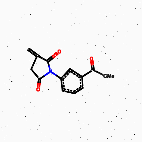 C=C1CC(=O)N(c2cccc(C(=O)OC)c2)C1=O